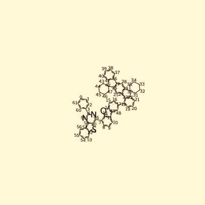 c1ccc(-c2nc(-c3cccc4c3oc3ccc(-c5cccc6c5-c5cc7c(cc5C65CCCCC5)-c5ccccc5C75CCCCC5)cc34)c3sc4ccccc4c3n2)cc1